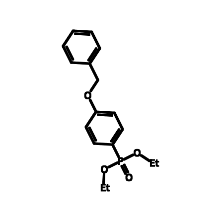 CCOP(=O)(OCC)c1ccc(OCc2ccccc2)cc1